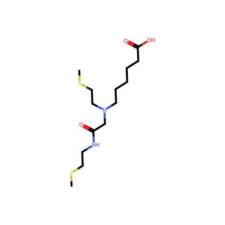 CSCCNC(=O)CN(CCCCCC(=O)O)CCSC